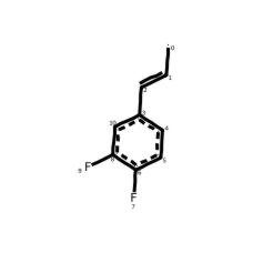 [CH2]/C=C/c1ccc(F)c(F)c1